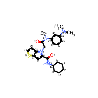 CCN(C(=O)Cn1c(C(=O)NC2CCCCC2)cc2sccc21)c1cccc(N(C)C)c1